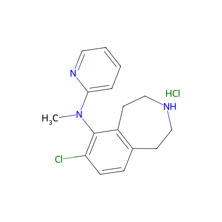 CN(c1ccccn1)c1c(Cl)ccc2c1CCNCC2.Cl